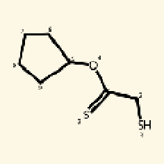 S=C(CS)OC1CCCC1